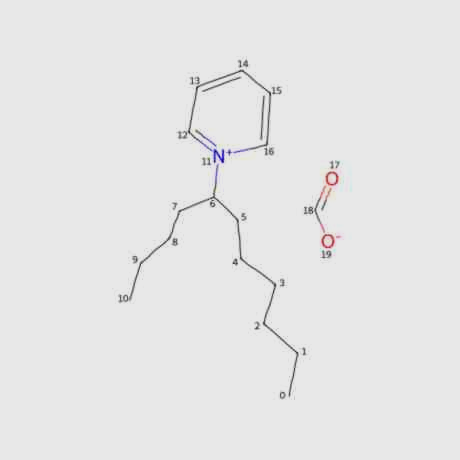 CCCCCCC(CCCC)[n+]1ccccc1.O=C[O-]